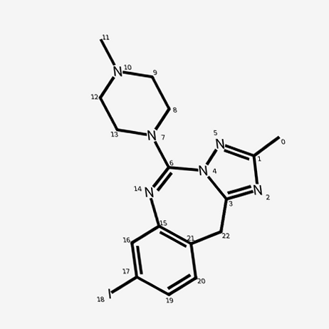 Cc1nc2n(n1)C(N1CCN(C)CC1)=Nc1cc(I)ccc1C2